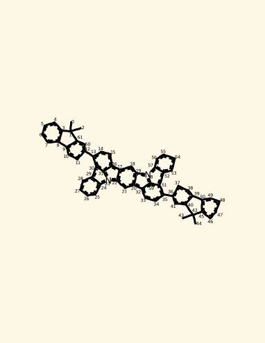 CC1(C)c2ccccc2-c2ccc(-c3ccc4c5cc6c(cc5n5c7ccccc7c3c45)c3ccc(-c4ccc5c(c4)C(C)(C)c4ccccc4-5)c4c5ccccc5n6c34)cc21